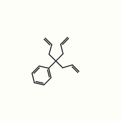 C=CCC(CC=C)(CC=C)c1cc[c]cc1